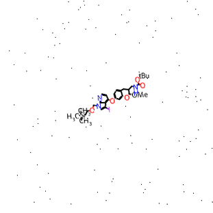 COC(=O)C(CNC(=O)OC(C)(C)C)Cc1ccc(Oc2ccnc3c2c(I)cn3COCC[Si](C)(C)C)cc1